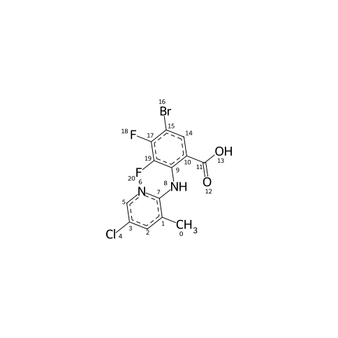 Cc1cc(Cl)cnc1Nc1c(C(=O)O)cc(Br)c(F)c1F